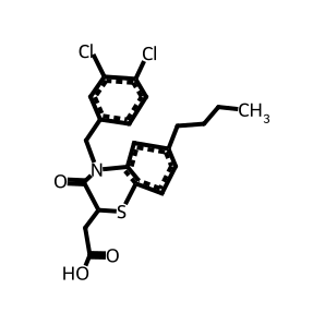 CCCCc1ccc2c(c1)N(Cc1ccc(Cl)c(Cl)c1)C(=O)C(CC(=O)O)S2